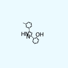 Cc1cccc(-c2cc(-c3ccccc3O)n[nH]2)c1